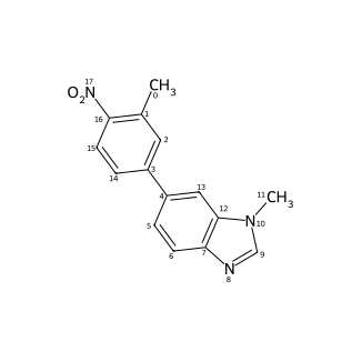 Cc1cc(-c2ccc3ncn(C)c3c2)ccc1[N+](=O)[O-]